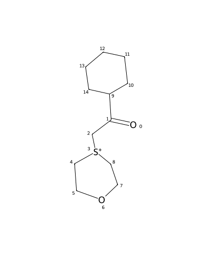 O=C(C[S+]1CCOCC1)C1CCCCC1